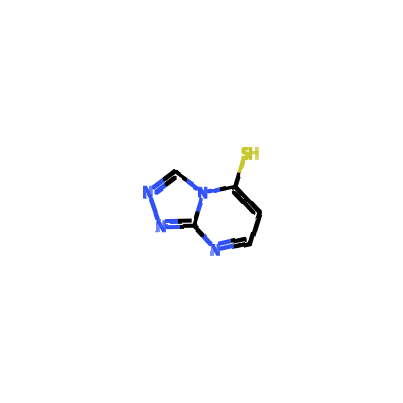 Sc1ccnc2nncn12